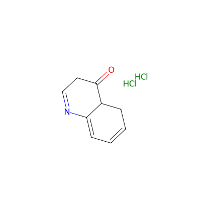 Cl.Cl.O=C1CC=NC2=CC=CCC12